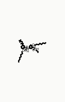 C[CH]CNS(=O)(=O)c1cc(NS(=O)(=O)c2cc(C(C)(C)CC(C)(C)C)ccc2OCCCCCCCC)ccc1OCCCCCCCC